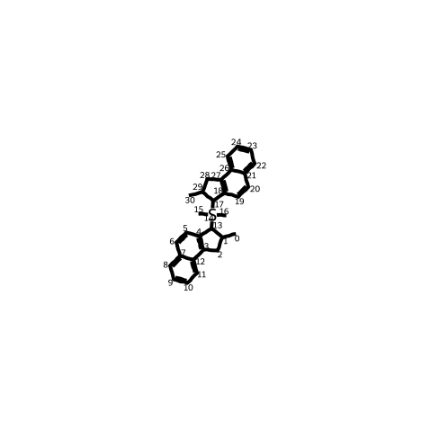 CC1Cc2c(ccc3ccccc23)C1S(C)(C)C1c2ccc3ccccc3c2CC1C